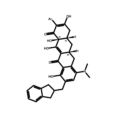 CC(=O)C1=C(O)C[C@@H]2C[C@@H]3Cc4c(N(C)C)cc(CC5Cc6ccccc6C5)c(O)c4C(=O)C3=C(O)[C@]2(O)C1=O